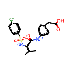 CC(C)C(NS(=O)(=O)c1ccc(Cl)cc1)C(=O)Nc1ccc(CC(=O)O)cc1